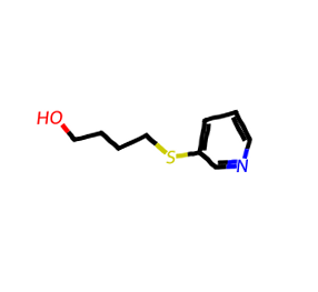 OCCCCSc1cccnc1